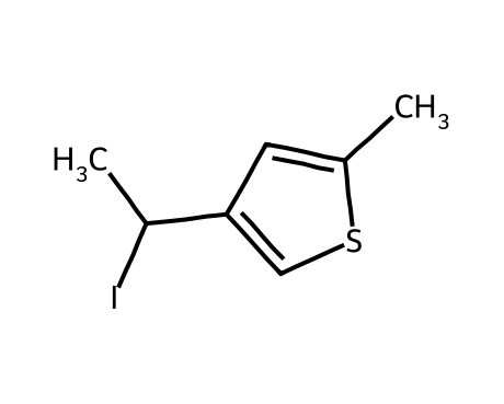 Cc1cc(C(C)I)cs1